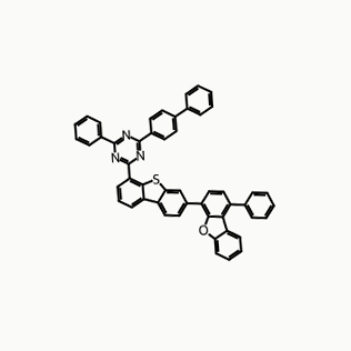 c1ccc(-c2ccc(-c3nc(-c4ccccc4)nc(-c4cccc5c4sc4cc(-c6ccc(-c7ccccc7)c7c6oc6ccccc67)ccc45)n3)cc2)cc1